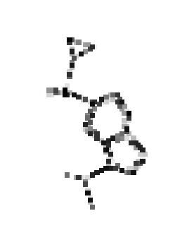 CC(C)n1ccc2ccc([S+]([O-])C3CC3)cc21